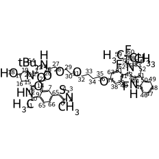 Cc1ncsc1-c1ccc([C@H](C)NC(=O)[C@@H]2C[C@@H](O)CN2C(=O)C(NC(=O)COCCOCCCCOc2cc(F)c([C@@H]3c4[nH]c5ccccc5c4C[C@@H](C)N3CC(C)(C)F)c(F)c2)C(C)(C)C)cc1